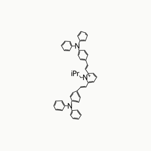 CC(C)C[n+]1c(/C=C/c2ccc(N(c3ccccc3)c3ccccc3)cc2)cccc1/C=C/c1ccc(N(c2ccccc2)c2ccccc2)cc1